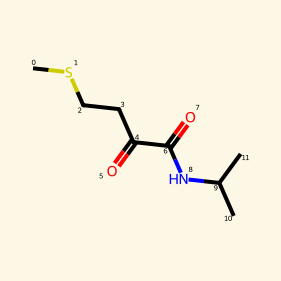 CSCCC(=O)C(=O)NC(C)C